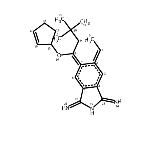 C/C=c1/cc2c(c/c1=C(/CC(C)(C)C)OC1C=CCC1)C(=N)NC2=N